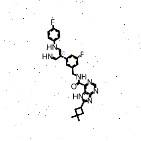 CC1(C)CC(c2nc3ncnc(C(=O)NCc4cc(F)cc(/C(C=N)=C/Nc5ccc(F)cc5)c4)c3[nH]2)C1